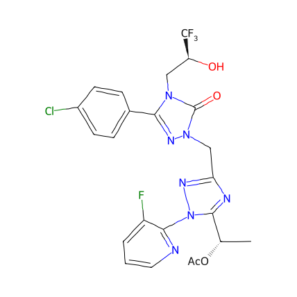 CC(=O)O[C@@H](C)c1nc(Cn2nc(-c3ccc(Cl)cc3)n(C[C@H](O)C(F)(F)F)c2=O)nn1-c1ncccc1F